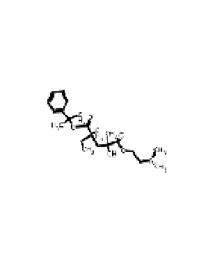 CCC(C)(CC(C)(C)C(=O)OCCN(C)C)C(=O)OC(C)(C)c1ccccc1